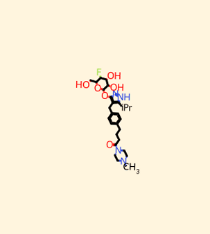 CC(C)c1[nH]nc(OC2OC(CO)C(F)C(O)C2O)c1Cc1ccc(CCCC(=O)N2CCN(C)CC2)cc1